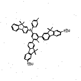 Cc1ccc(N(c2cc(-c3ccc4c(c3)C(C)(C)c3cc(C(C)(C)C)ccc3-4)c(C)c(-c3ccc4c(c3)C(C)(C)c3cc(C(C)(C)C)ccc3-4)c2)c2ccc3c(c2)C(C)(C)c2ccccc2-3)cc1